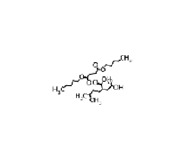 CC(C)CCC(CC(=O)O)C(=O)O.CCCCCOC(=O)CCC(=O)OCCCCC